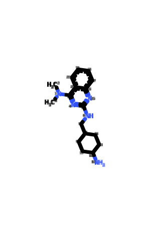 CN(C)c1nc(NCC2CCC(N)CC2)nc2ccccc12